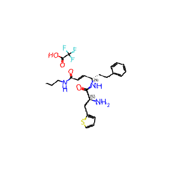 CCCNC(=O)C=C[C@H](CCc1ccccc1)NC(=O)[C@@H](N)Cc1cccs1.O=C(O)C(F)(F)F